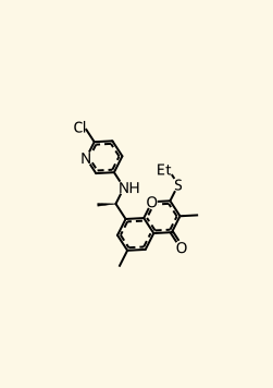 CCSc1oc2c([C@@H](C)Nc3ccc(Cl)nc3)cc(C)cc2c(=O)c1C